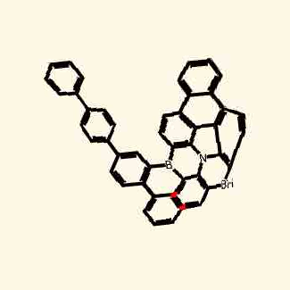 B1c2cccc3c2-n2c4c1ccc1c5ccccc5c5ccc(c2c5c14)B3c1cc(-c2ccc(-c3ccccc3)cc2)ccc1-c1ccccc1